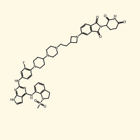 CS(=O)(=O)N1CCc2cccc(Nc3nc(Nc4ccc(N5CCC(N6CCN(CCC7CN(c8ccc9c(c8)C(=O)N(C8CCC(=O)NC8=O)C9=O)C7)CC6)CC5)c(F)c4)nc4[nH]ccc34)c21